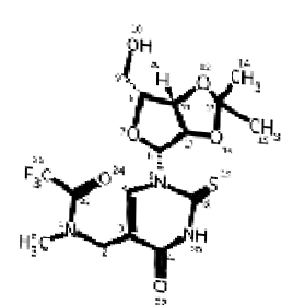 CN(Cc1cn([C@@H]2O[C@H](CO)[C@@H]3OC(C)(C)OC32)c(=S)[nH]c1=O)C(=O)C(F)(F)F